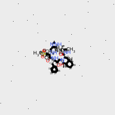 Cc1[nH]cnc1CN[C@H](C(=O)N[C@@H](Cc1ccccc1)[C@H](O)CN1C[C@H]2CCCC[C@H]2C[C@H]1C(=O)NC(C)(C)C)C(C)(C)S(C)(=O)=O